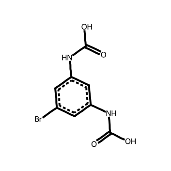 O=C(O)Nc1cc(Br)cc(NC(=O)O)c1